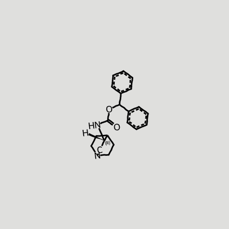 O=C(N[C@H]1CN2CCC1CC2)OC(c1ccccc1)c1ccccc1